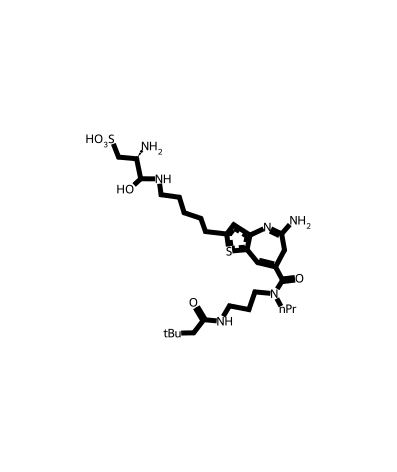 CCCN(CCCNC(=O)CC(C)(C)C)C(=O)C1=Cc2sc(CCCCCNC(O)[C@@H](N)CS(=O)(=O)O)cc2N=C(N)C1